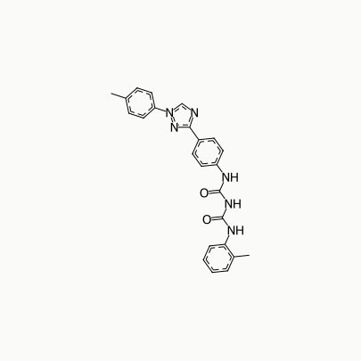 Cc1ccc(-n2cnc(-c3ccc(NC(=O)NC(=O)Nc4ccccc4C)cc3)n2)cc1